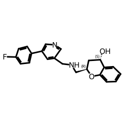 O[C@H]1C[C@H](CNCc2cncc(-c3ccc(F)cc3)c2)Oc2ccccc21